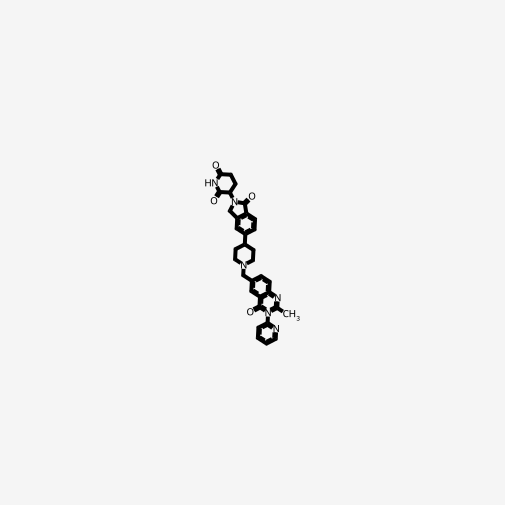 Cc1nc2ccc(CN3CCC(c4ccc5c(c4)CN(C4CCC(=O)NC4=O)C5=O)CC3)cc2c(=O)n1-c1ccccn1